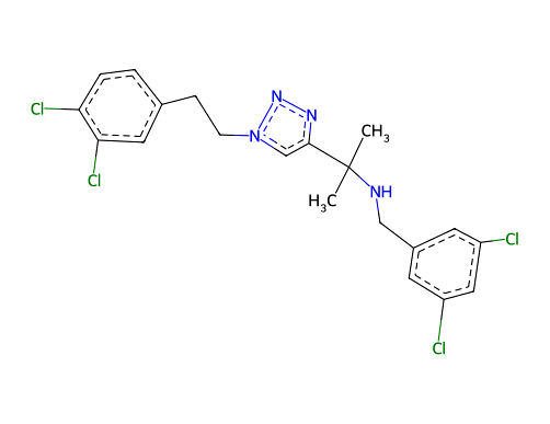 CC(C)(NCc1cc(Cl)cc(Cl)c1)c1cn(CCc2ccc(Cl)c(Cl)c2)nn1